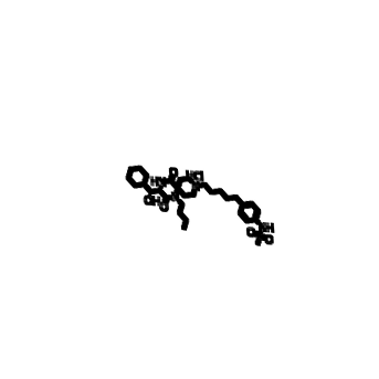 CCCCN1C(=O)[C@@H]([C@H](O)C2CCCCC2)NC(=O)C12CCN(CCCCCc1ccc(NS(C)(=O)=O)cc1)CC2.Cl